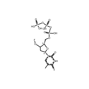 Cc1cn([C@H]2CC(OF)[C@@H](COP(=O)(O)OP(=O)(O)OP(=O)(O)O)O2)c(=O)[nH]c1=S